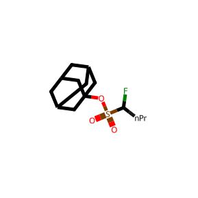 CCCC(F)S(=O)(=O)OC12CC3CC(CC(C3)C1)C2